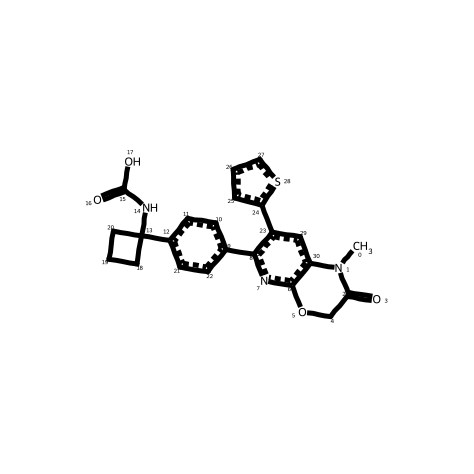 CN1C(=O)COc2nc(-c3ccc(C4(NC(=O)O)CCC4)cc3)c(-c3cccs3)cc21